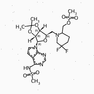 CC1(C)O[C@@H]2[C@H](O1)[C@@H](CN1CC(F)(F)CCC1COS(C)(=O)=O)O[C@H]2n1ccc2c(NS(C)(=O)=O)ncnc21